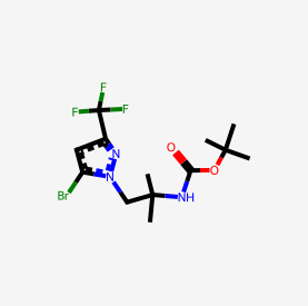 CC(C)(Cn1nc(C(F)(F)F)cc1Br)NC(=O)OC(C)(C)C